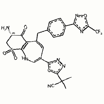 CC(C)(C#N)c1nnc(C2=CNC3=C(C(=O)[C@@H](N)CS3(=O)=O)C(Cc3ccc(-c4noc(C(F)(F)F)n4)cc3)=C2)o1